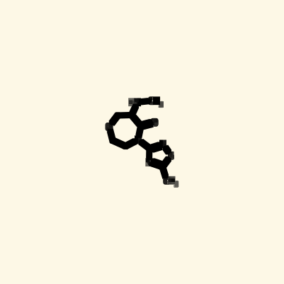 CNC1COCCN(c2nsc(C)n2)C1=O